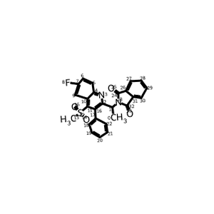 CC(c1nc2ccc(F)cc2c(S(C)(=O)=O)c1-c1ccccc1)N1C(=O)c2ccccc2C1=O